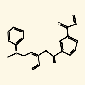 C=CC(=O)c1cccc(C(=C)C/C(C=C)=C/CI(C)c2ccccc2)c1